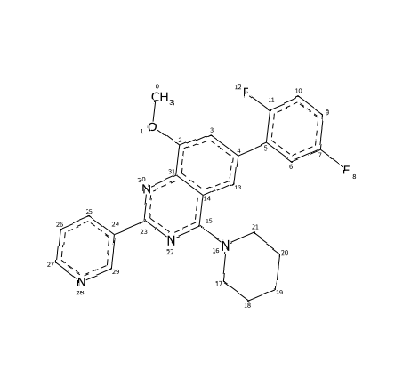 COc1cc(-c2cc(F)ccc2F)cc2c(N3CCCCC3)nc(-c3cccnc3)nc12